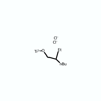 CCCCC(CC)C[O][Ti+2].[Cl-].[Cl-]